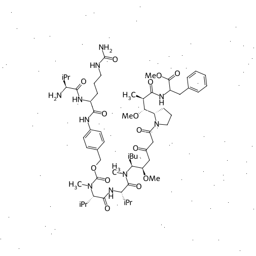 CCC(C)[C@@H]([C@@H](CC(=O)CC(=O)N1CCC[C@H]1[C@H](OC)[C@@H](C)C(=O)NC(Cc1ccccc1)C(=O)OC)OC)N(C)C(=O)[C@@H](NC(=O)[C@H](C(C)C)N(C)C(=O)OCc1ccc(NC(=O)C(CCCNC(N)=O)NC(=O)[C@@H](N)C(C)C)cc1)C(C)C